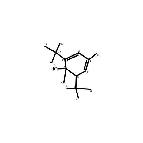 CC1=CC(C(C)(C)C)C(C)(O)C(C(C)(C)C)=C1